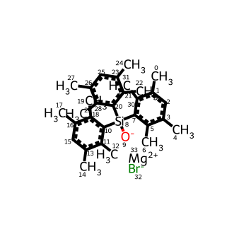 Cc1cc(C)c(C)c([Si]([O-])(c2c(C)c(C)cc(C)c2C)c2c(C)c(C)cc(C)c2C)c1C.[Br-].[Mg+2]